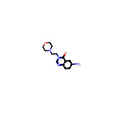 Nc1ccc2ncn(CCN3CCOCC3)c(=O)c2c1